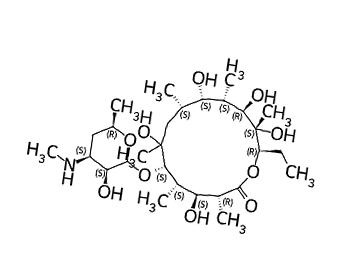 CC[C@H]1OC(=O)[C@H](C)[C@@H](O)[C@H](C)[C@H](OC2O[C@H](C)C[C@H](NC)[C@@H]2O)C(C)(O)C[C@H](C)[C@H](O)[C@H](C)[C@@H](O)[C@]1(C)O